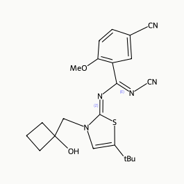 COc1ccc(C#N)cc1C(/N=c1\sc(C(C)(C)C)cn1CC1(O)CCC1)=N\C#N